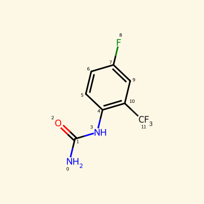 NC(=O)Nc1ccc(F)cc1C(F)(F)F